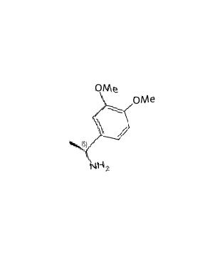 COc1ccc([C@H](C)N)cc1OC